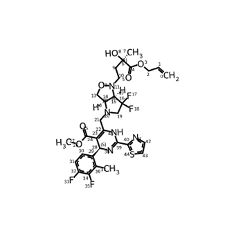 C=CCOC(=O)[C@](C)(O)CCN1OC[C@H]2[C@@H]1C(F)(F)CN2CC1=C(C(=O)OC)[C@H](c2ccc(F)c(F)c2C)N=C(c2nccs2)N1